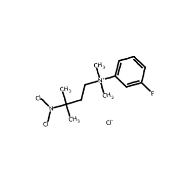 CC(C)(CC[N+](C)(C)c1cccc(F)c1)N(Cl)Cl.[Cl-]